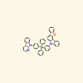 C1=CC2c3ccccc3N(c3ccc([Si](c4ccccc4)(c4ccccc4)c4cccc(-n5c6ccccc6c6c7oc8ccccc8c7ccc65)c4)cc3)C2N=C1